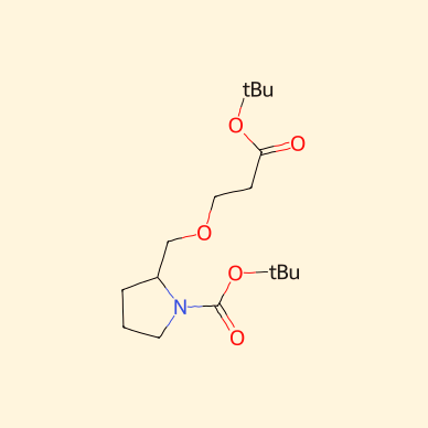 CC(C)(C)OC(=O)CCOCC1CCCN1C(=O)OC(C)(C)C